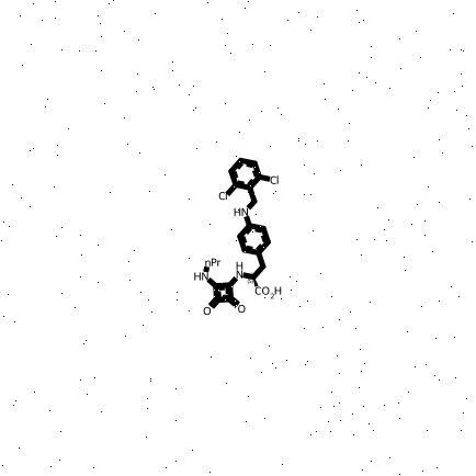 CCCNc1c(N[C@@H](Cc2ccc(NCc3c(Cl)cccc3Cl)cc2)C(=O)O)c(=O)c1=O